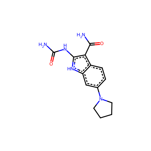 NC(=O)Nc1[nH]c2cc(N3CCCC3)ccc2c1C(N)=O